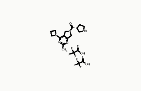 Cc1nc2c(c(N3CCC3)n1)CN(C(=O)[C@@H]1CCNC1)C2.O=C(O)C(F)(F)F.O=C(O)C(F)(F)F